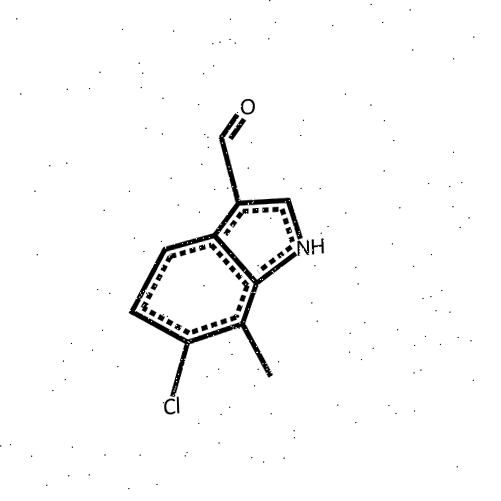 Cc1c(Cl)ccc2c(C=O)c[nH]c12